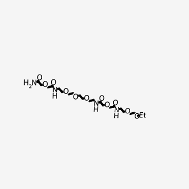 CCOCCOCCNC(=O)COCC(=O)NCCOCCOCCOCCNC(=O)COCC(N)=O